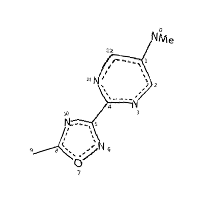 CNc1cnc(-c2noc(C)n2)nc1